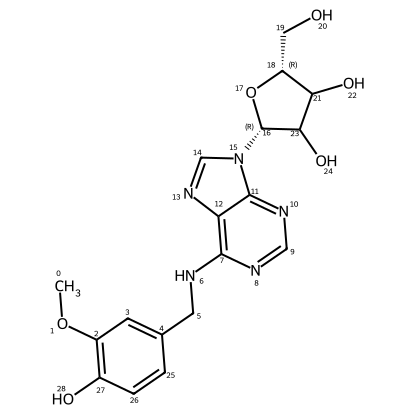 COc1cc(CNc2ncnc3c2ncn3[C@@H]2O[C@H](CO)C(O)C2O)ccc1O